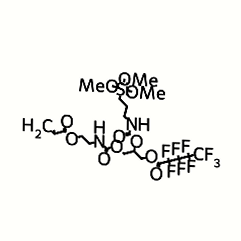 C=CC(=O)OCCNC(=O)OCC(COC(=O)C(F)(F)C(F)(F)C(F)(F)C(F)(F)F)OC(=O)NCCC[Si](OC)(OC)OC